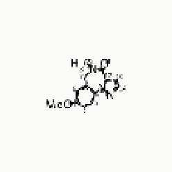 COc1ccc2c(c1)CN(C)C(=O)c1ccnn1-2